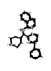 c1ccc(-c2ccnc(C(Nc3nccc4ccccc34)C3CCNCC3)n2)cc1